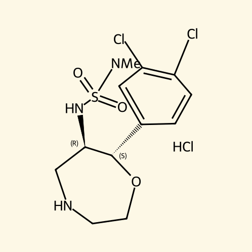 CNS(=O)(=O)N[C@@H]1CNCCO[C@H]1c1ccc(Cl)c(Cl)c1.Cl